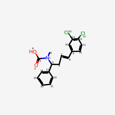 CN(C(=O)O)C(CC=Cc1ccc(Cl)c(Cl)c1)c1ccccc1